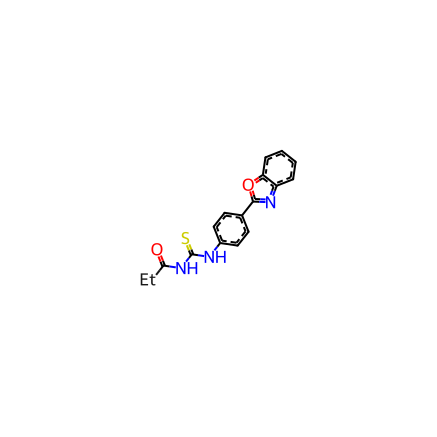 CCC(=O)NC(=S)Nc1ccc(-c2nc3ccccc3o2)cc1